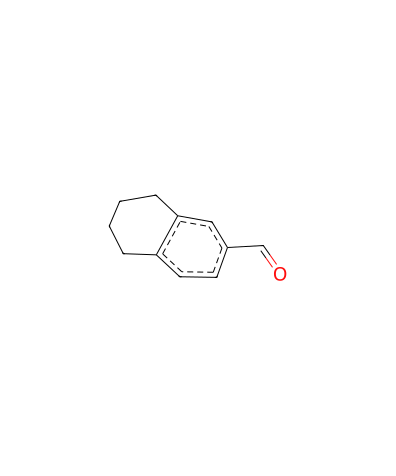 O=Cc1ccc2c(c1)CCCC2